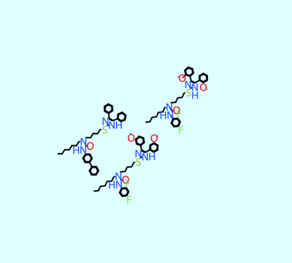 CCCCCCCN(CCCCCSc1nc(-c2cccc(OC)c2)c(-c2cccc(OC)c2)[nH]1)C(=O)Nc1ccc(F)cc1F.CCCCCCCN(CCCCCSc1nc(-c2ccccc2)c(-c2ccccc2)[nH]1)C(=O)Nc1ccc(-c2ccccc2)cc1.CCCCCCCN(CCCCCSc1nc(-c2ccccc2OC)c(-c2ccccc2OC)[nH]1)C(=O)Nc1ccc(F)cc1F